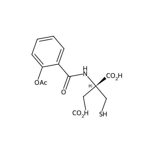 CC(=O)Oc1ccccc1C(=O)N[C@](CS)(CC(=O)O)C(=O)O